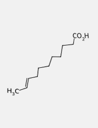 CC=CCCCCCCCC(=O)O